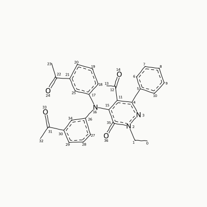 CCn1nc(-c2ccccc2)c(C(C)=O)c(N(c2cccc(C(C)=O)c2)c2cccc(C(C)=O)c2)c1=O